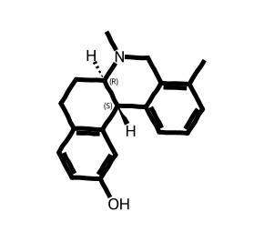 Cc1cccc2c1CN(C)[C@@H]1CCc3ccc(O)cc3[C@@H]21